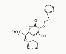 CCOC(=O)C(OC1=CC=CCC1)c1cc(O)c(SCCc2ccccc2)c(=O)o1